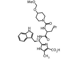 COCOC1CCN(C(=O)NC(CC(C)C)C(=O)N[C@H](Cc2c[nH]c3ccccc23)c2nc(C(=O)O)c(C)[nH]2)CC1